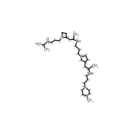 CC(C)NCCCN1CCC1CC(C)NCCCN1CCC(CC(C)NCCCN2CCN(C)CC2)C1